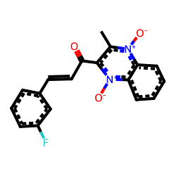 Cc1c(C(=O)C=Cc2cccc(F)c2)[n+]([O-])c2ccccc2[n+]1[O-]